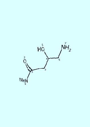 CNC(=O)CC(O)CN